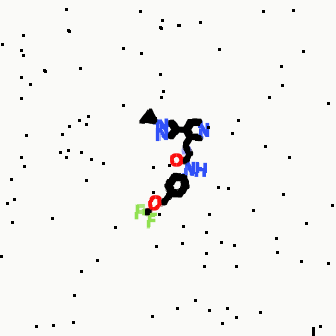 O=C(/C=C/c1cnccc1-c1cnn(C2CC2)c1)Nc1ccc(COC(F)F)cc1